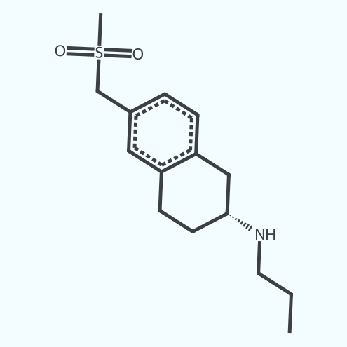 CCCN[C@@H]1CCc2cc(CS(C)(=O)=O)ccc2C1